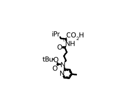 Cc1ccnc(N(CCCC(=O)N[C@@H](CC(C)C)C(=O)O)C(=O)OC(C)(C)C)c1